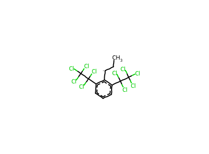 CC[CH]c1c(C(Cl)(Cl)C(Cl)(Cl)Cl)cccc1C(Cl)(Cl)C(Cl)(Cl)Cl